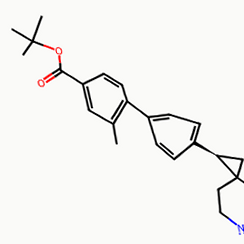 Cc1cc(C(=O)OC(C)(C)C)ccc1-c1ccc([C@H]2CC23CCNCC3)cc1